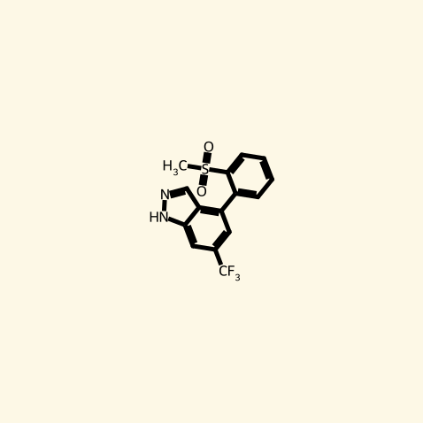 CS(=O)(=O)c1ccccc1-c1cc(C(F)(F)F)cc2[nH]ncc12